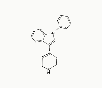 C1=C(c2cn(-c3ccccc3)c3ccccc23)CCNC1